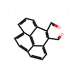 O=Cc1c(C=O)c2cccc3ccc4cccc1c4c32